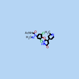 C=NN(C(=O)NC(C)=O)c1cc(Cl)c(Oc2n[nH]c(=O)cc2-c2ccnc(C)c2)c(Cl)c1